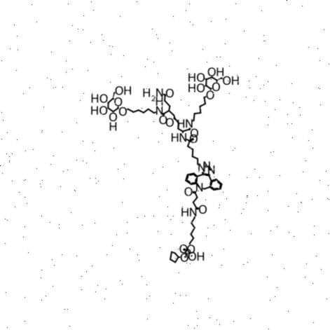 NC(=O)CCC(CC(=O)CCC(NC(=O)CCCCCn1nnc2c1-c1ccccc1N(C(=O)CCC(=O)NCCCCCCOP(=O)(O)OC1CCCC1)Cc1ccccc1-2)C(=O)NCCCCCCO[C@H]1O[C@H](CO)[C@@H](O)C(O)C1O)C(=O)NCCCCCCO[C@H]1O[C@H](CO)[C@@H](O)C(O)C1O